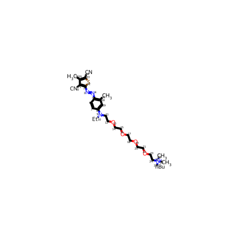 [C-]#[N+]c1c(/N=N/c2ccc(N(CC)CCOCCOCCOCCOCC[N+](C)(C)CCCC)cc2C)sc(C#N)c1C